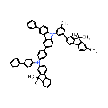 Cc1cc(-c2ccc3c(c2)C(C)(C)c2cc(C)ccc2-3)cc(-n2c3ccc(-c4ccccc4)cc3c3cc(-c4ccc(N(c5ccc(-c6ccccc6)cc5)c5ccc6c(c5)C(C)(C)c5ccccc5-6)cc4)ccc32)c1